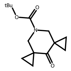 CC(C)(C)OC(=O)N1CC2(CC2)C(=O)C2(CC2)C1